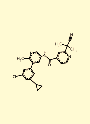 Cc1ncc(NC(=O)c2ccnc(C(C)(C)C#N)c2)cc1-c1cc(Cl)cc(C2CC2)c1